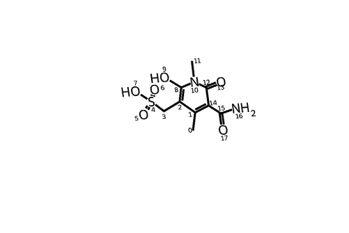 Cc1c(CS(=O)(=O)O)c(O)n(C)c(=O)c1C(N)=O